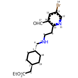 CCOC(=O)C[C@H]1CC[C@H](CNCCc2ncc(Br)cc2C=O)CC1